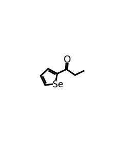 CCC(=O)c1ccc[se]1